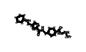 CCCNNC(=O)c1ccc(CNC(=O)c2nc(CNc3ccccc3)cs2)cc1